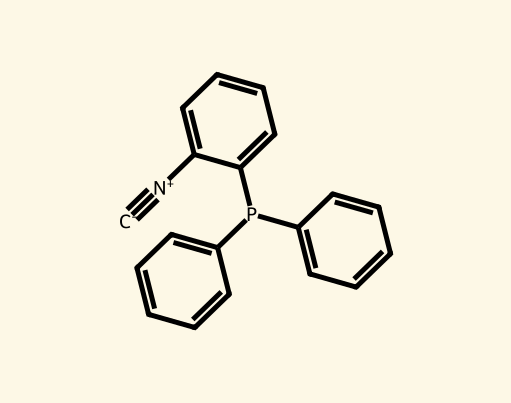 [C-]#[N+]c1ccccc1P(c1ccccc1)c1ccccc1